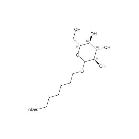 CCCCCCCCCCCCCCCCOC1O[C@H](CO)[C@@H](O)[C@H](O)[C@H]1O